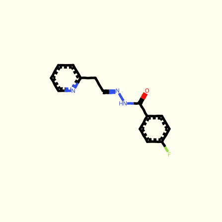 O=C(NN=CCc1ccccn1)c1ccc(F)cc1